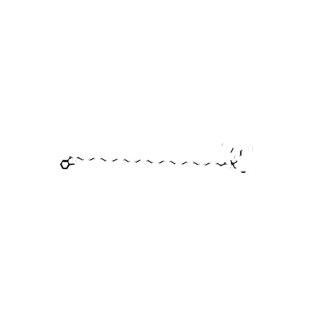 CC(=O)CCOCC(COCCC=O)(COCCC=O)NC(=O)CCOCCOCCOCCOCCOCCOCCOCCOCCOCCOCCOCCOCCN1C(=O)c2ccccc2C1=O